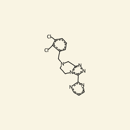 Clc1cccc(CN2CCn3c(nnc3-c3ncccn3)C2)c1Cl